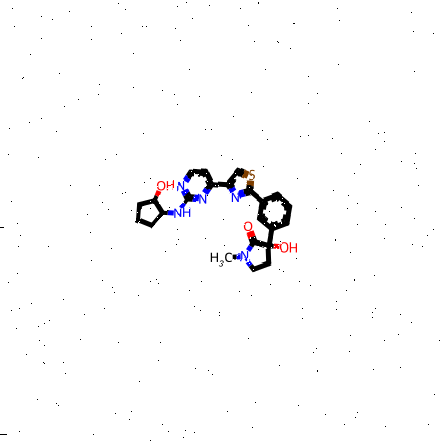 CN1CCC(O)(c2cccc(-c3nc(-c4ccnc(NC5CCCC5O)n4)cs3)c2)C1=O